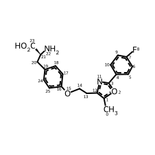 Cc1oc(-c2ccc(F)cc2)nc1CCOc1ccc(C[C@H](N)C(=O)O)cc1